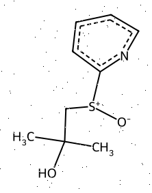 CC(C)(O)C[S+]([O-])c1ccccn1